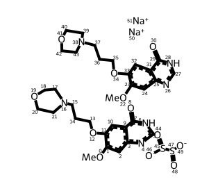 COc1cc2nc[nH]c(=O)c2cc1OCCCN1CCOCC1.COc1cc2nc[nH]c(=O)c2cc1OCCCN1CCOCC1.O=S([O-])S(=O)[O-].[Na+].[Na+]